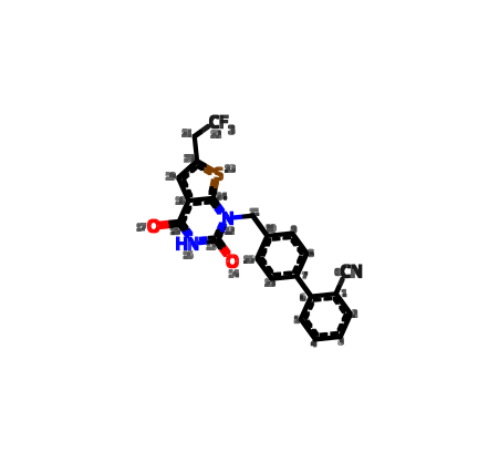 N#Cc1ccccc1-c1ccc(Cn2c(=O)[nH]c(=O)c3cc(CC(F)(F)F)sc32)cc1